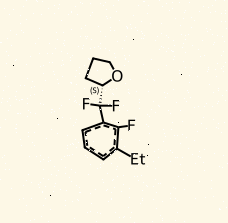 CCc1cccc(C(F)(F)[C@@H]2CCCO2)c1F